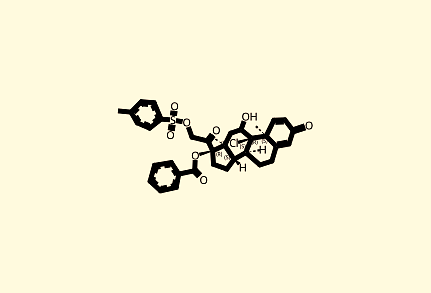 Cc1ccc(S(=O)(=O)OCC(=O)[C@@]2(OC(=O)c3ccccc3)CC[C@H]3[C@@H]4CCC5=CC(=O)C=C[C@]5(C)[C@@]4(Cl)C(O)C[C@@]32C)cc1